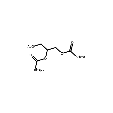 CCCCCCCC(=O)OCC(COC(C)=O)OC(=O)CCCCCCC